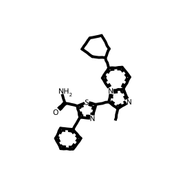 Cc1nc2ccc(C3CCCCC3)cn2c1-c1nc(-c2ccccc2)c(C(N)=O)s1